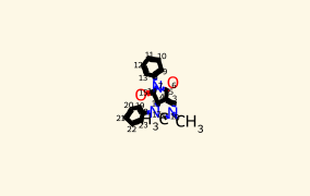 CN(C)C=C1C(=O)N(c2ccccc2)C(=O)C1=Nc1ccccc1